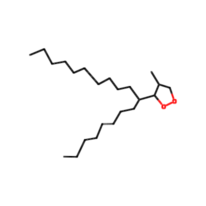 CCCCCCCCCCC(CCCCCCCC)C1OOCC1C